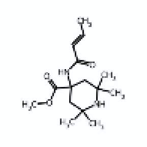 CC=CC(=O)NC1(C(=O)OC)CC(C)(C)NC(C)(C)C1